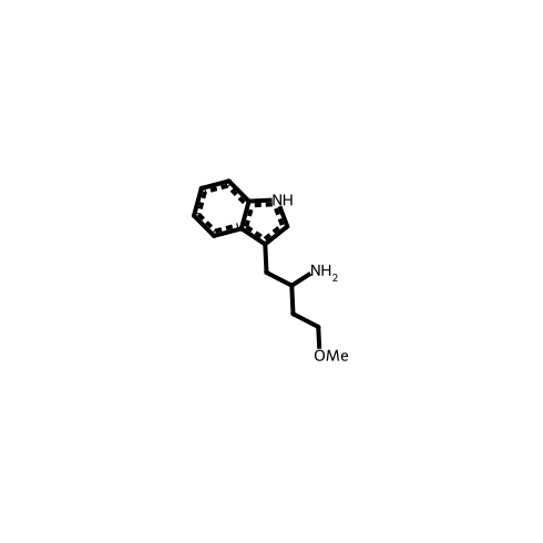 COCCC(N)Cc1c[nH]c2ccccc12